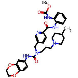 CC1CCN(CCCN(Cc2ccc(C(=O)Nc3ccccc3NC(=O)OC(C)(C)C)nc2)C(=O)Nc2ccc3c(c2)OCCO3)CC1